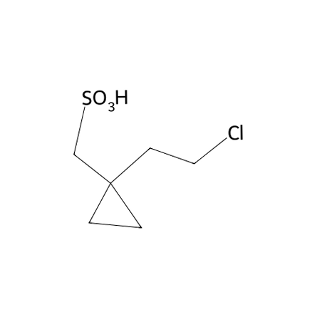 O=S(=O)(O)CC1(CCCl)CC1